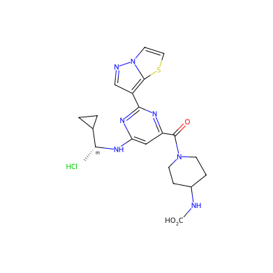 C[C@@H](Nc1cc(C(=O)N2CCC(NC(=O)O)CC2)nc(-c2cnn3ccsc23)n1)C1CC1.Cl